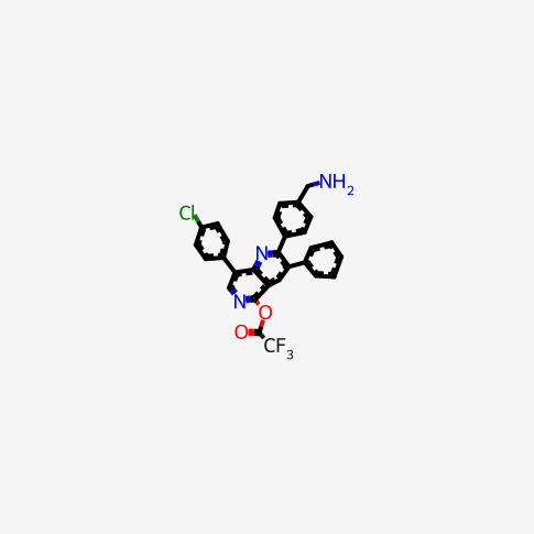 NCc1ccc(-c2nc3c(-c4ccc(Cl)cc4)cnc(OC(=O)C(F)(F)F)c3cc2-c2ccccc2)cc1